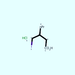 CCCC(CI)CC(=O)O.Cl